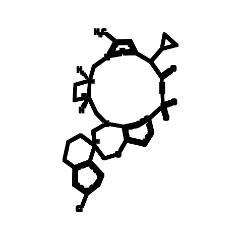 Cc1cc2nn1C[C@@H]1CC[C@H]1CN1C[C@@]3(CCCc4cc(Cl)ccc43)COc3ccc(cc31)S(=O)(=O)NC(=O)C2C1CC1